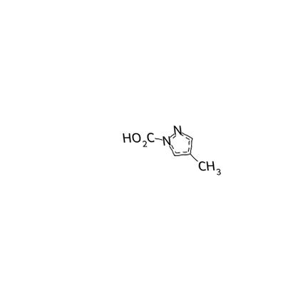 Cc1cnn(C(=O)O)c1